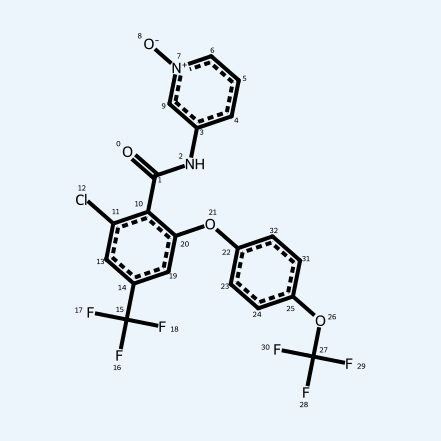 O=C(Nc1ccc[n+]([O-])c1)c1c(Cl)cc(C(F)(F)F)cc1Oc1ccc(OC(F)(F)F)cc1